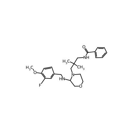 COc1ccc(CNC2COCCN2CC(C)(C)CNC(=O)c2ccccc2)cc1F